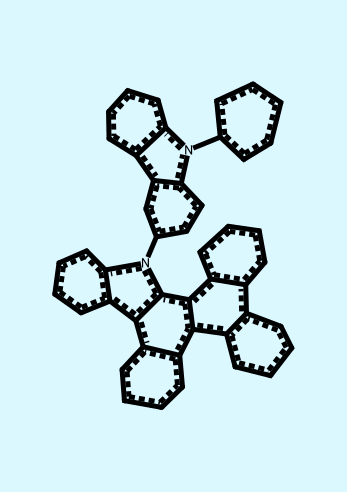 c1ccc(-n2c3ccccc3c3cc(-n4c5ccccc5c5c6ccccc6c6c7ccccc7c7ccccc7c6c54)ccc32)cc1